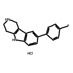 Cl.Fc1ccc(-c2ccc3[nH]c4c(c3c2)CNCC4)cc1